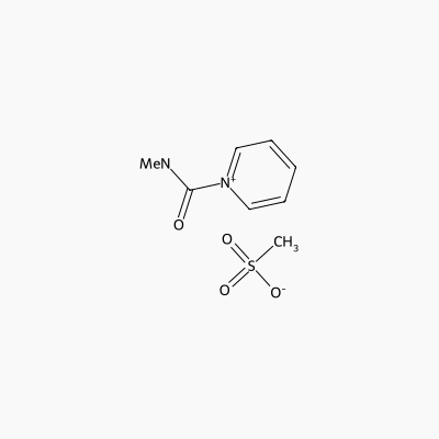 CNC(=O)[n+]1ccccc1.CS(=O)(=O)[O-]